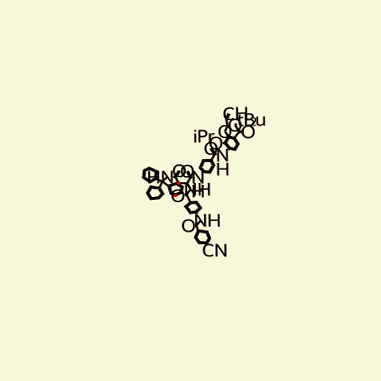 C=CCOc1c(C(=O)OC(C)(C)C)ccc(NC(=O)c2ccc(NC(=O)C(CC(=O)NC(c3ccccc3)(c3ccccc3)c3ccccc3)NC(=O)c3ccc(NC(=O)c4ccc(C#N)cc4)cc3)cc2)c1OC(C)C